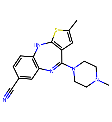 Cc1cc2c(s1)Nc1ccc(C#N)cc1N=C2N1CCN(C)CC1